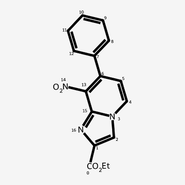 CCOC(=O)c1cn2ccc(-c3ccccc3)c([N+](=O)[O-])c2n1